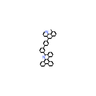 Cc1cccc2cc(-c3ccc(-c4cccc(-c5nc6c7ccccc7c7ccccc7c6c6ccccc56)c4)cc3)c3cccnc3c12